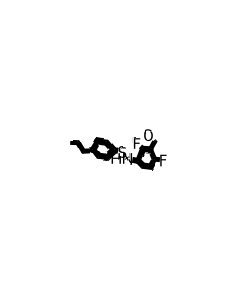 CCCc1ccc(SNc2ccc(F)c(C=O)c2F)cc1